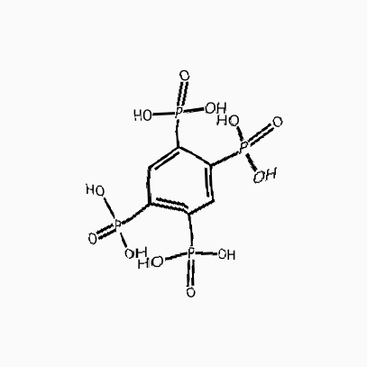 O=P(O)(O)c1cc(P(=O)(O)O)c(P(=O)(O)O)cc1P(=O)(O)O